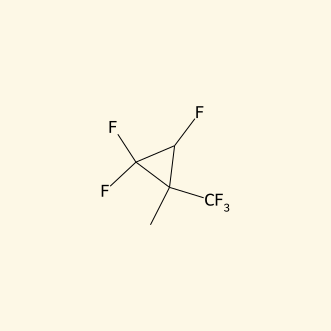 CC1(C(F)(F)F)C(F)C1(F)F